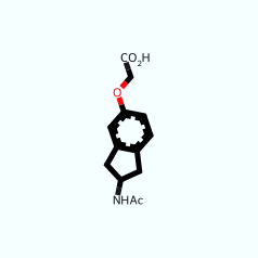 CC(=O)NC1Cc2ccc(OCC(=O)O)cc2C1